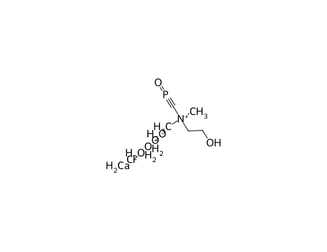 C[N+](C)(C#P=O)CCO.O.O.O.O.[CaH2].[Cl-]